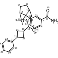 COC1(c2cccc(C(N)=O)c2)C2CCC1CN(C(O)C1CC(c3ccccc3)C1)C2